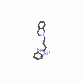 c1ccc2c(c1)CCN(CCCc1nc3ccccc3[nH]1)C2